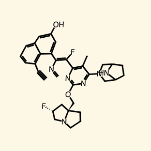 C#Cc1cccc2cc(O)cc(/C(N=C)=C(\F)c3nc(OC[C@@]45CCCN4C[C@H](F)C5)nc(N4CC5CCC(C4)N5)c3C)c12